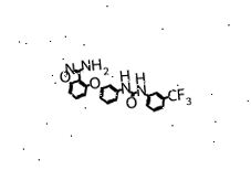 Nc1noc2cccc(Oc3cccc(NC(=O)Nc4cccc(C(F)(F)F)c4)c3)c12